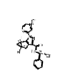 O=C(N[C@H](CO)c1ccccc1)c1nn(-c2c[n+]([O-])ccn2)c2c1C[C@@H]1C[C@H]21